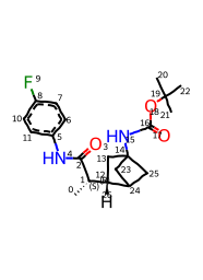 C[C@H](C(=O)Nc1ccc(F)cc1)[C@@H]1CC2(NC(=O)OC(C)(C)C)CC1C2